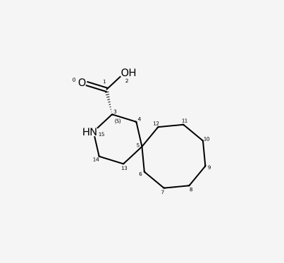 O=C(O)[C@@H]1CC2(CCCCCCC2)CCN1